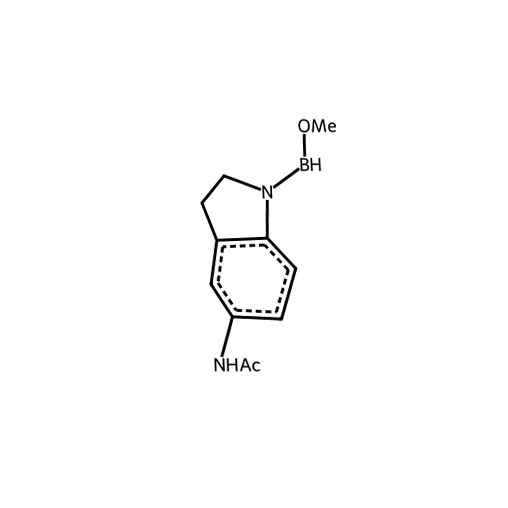 COBN1CCc2cc(NC(C)=O)ccc21